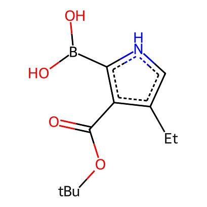 CCc1c[nH]c(B(O)O)c1C(=O)OC(C)(C)C